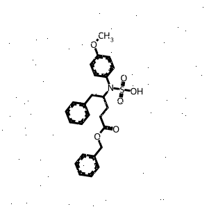 COc1ccc(N(C(CCC(=O)OCc2ccccc2)Cc2ccccc2)S(=O)(=O)O)cc1